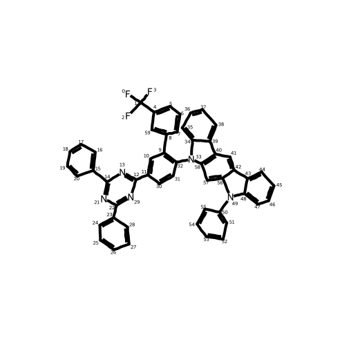 FC(F)(F)c1cccc(-c2cc(-c3nc(-c4ccccc4)nc(-c4ccccc4)n3)ccc2-n2c3ccccc3c3cc4c5ccccc5n(-c5ccccc5)c4cc32)c1